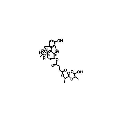 CC(OC(=O)C(C)OC(=O)CCC(=O)OC1=CC[C@@]2(O)[C@H]3Cc4ccc(O)c5c4[C@@]2(CCN3C)[C@H]1O5)C(=O)O